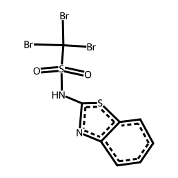 O=S(=O)(Nc1nc2ccccc2s1)C(Br)(Br)Br